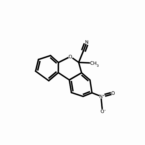 CC1(C#N)Oc2ccccc2-c2ccc([N+](=O)[O-])cc21